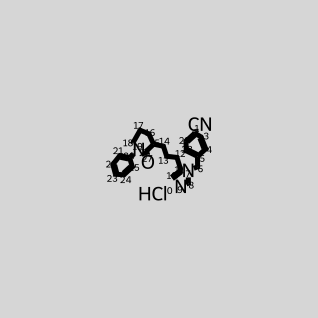 Cl.N#Cc1ccc(Cn2cncc2CCCC2CCCN(c3ccccc3)C2=O)cc1